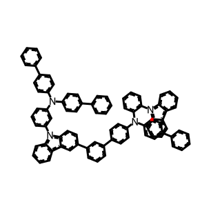 c1ccc(-c2ccc(N(c3ccc(-c4ccccc4)cc3)c3cccc(-n4c5ccccc5c5cc(-c6cccc(-c7ccc(N(c8ccc(-c9ccccc9)cc8)c8ccccc8-n8c9ccccc9c9ccccc98)cc7)c6)ccc54)c3)cc2)cc1